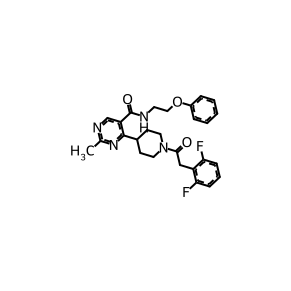 Cc1ncc(C(=O)NCCOc2ccccc2)c(C2CCN(C(=O)Cc3c(F)cccc3F)CC2)n1